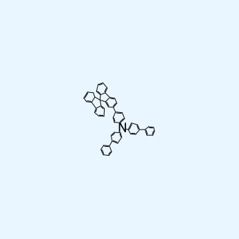 C1=CCC2C(=C1)c1ccccc1C21c2ccccc2-c2ccc(-c3ccc(N(c4ccc(-c5ccccc5)cc4)c4ccc(-c5ccccc5)cc4)cc3)cc21